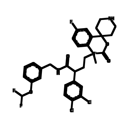 C[N+]1(CCC(C(=O)NCc2cccc(OC(F)F)c2)c2ccc(Cl)c(Cl)c2)C(=O)OC2(CCNCC2)c2cc(F)ccc21